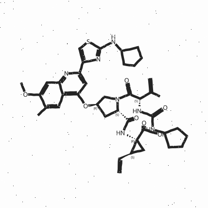 C=C[C@@H]1C[C@]1(NC(=O)[C@@H]1C[C@@H](Oc2cc(-c3csc(NC4CCCC4)n3)nc3cc(OC)c(C)cc23)CN1C(=O)[C@@H](NC(=O)NC1CCCC1)C(=C)C)C(=O)O